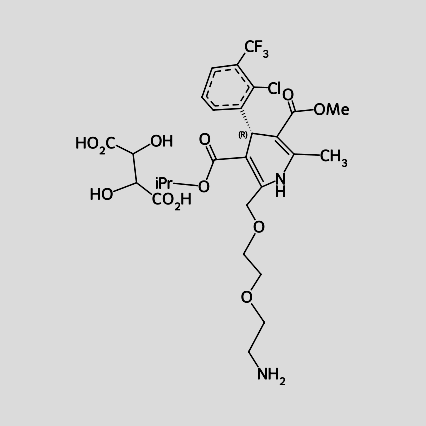 COC(=O)C1=C(C)NC(COCCOCCN)=C(C(=O)OC(C)C)[C@@H]1c1cccc(C(F)(F)F)c1Cl.O=C(O)C(O)C(O)C(=O)O